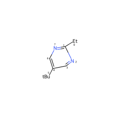 CCc1ncc(C(C)(C)C)cn1